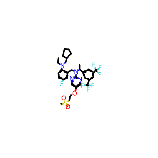 CCN(CC1CCCC1)c1ccc(F)cc1CN(c1ncc(OCCS(C)(=O)=O)cn1)C(C)c1cc(C(F)(F)F)cc(C(F)(F)F)c1